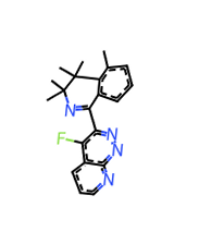 Cc1cccc2c1C(C)(C)C(C)(C)N=C2c1nnc2ncccc2c1F